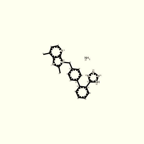 Cc1ccnc2c1nc(C)n2Cc1ccc(-c2ccccc2-c2nnn[nH]2)cc1.N